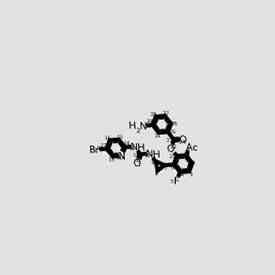 CC(=O)c1ccc(F)c(C2CC2NC(=O)Nc2ccc(Br)cn2)c1OC(=O)c1cccc(N)c1